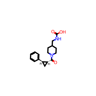 O=C(O)NCC1CCN(C(=O)[C@@H]2C[C@H]2c2ccccc2)CC1